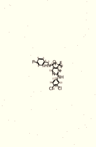 O=C(NCc1ccc(F)cc1)c1cnc(Nc2ccc(Cl)c(Cl)c2)nc1C(F)(F)F